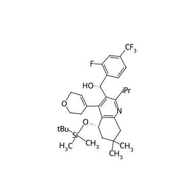 CC(C)c1nc2c(c(C3=CCOCC3)c1[C@H](O)c1ccc(C(F)(F)F)cc1F)[C@@H](O[Si](C)(C)C(C)(C)C)CC(C)(C)C2